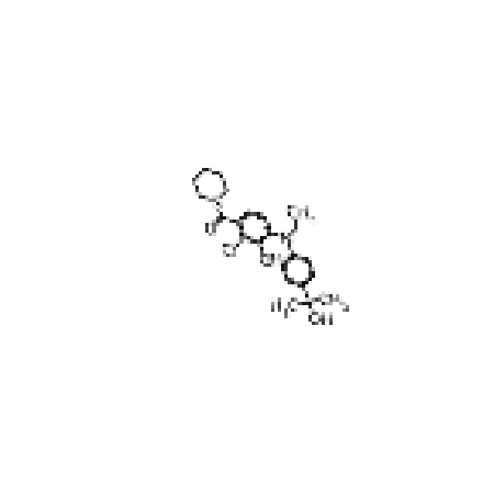 CCN(c1ccc(C(C)(C)O)cc1)c1ccc(C(=O)N2CCCCC2)c(Cl)c1O